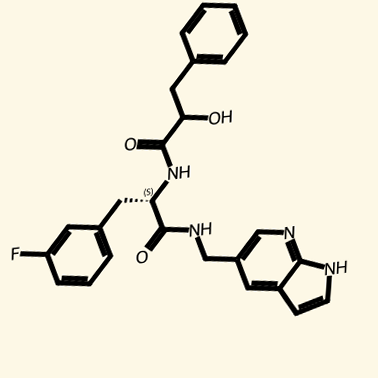 O=C(N[C@@H](Cc1cccc(F)c1)C(=O)NCc1cnc2[nH]ccc2c1)C(O)Cc1ccccc1